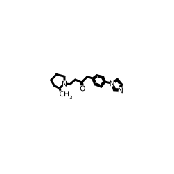 CC1CCCCN1CCC(=O)Cc1ccc(-n2ccnc2)cc1